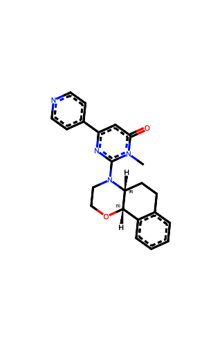 Cn1c(N2CCO[C@H]3c4ccccc4CC[C@H]32)nc(-c2ccncc2)cc1=O